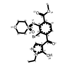 CCn1ncc(C(=O)c2ccc(C(=O)OC)c(N=S3(=O)CCOCC3)c2Br)c1O